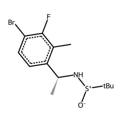 Cc1c([C@@H](C)N[S+]([O-])C(C)(C)C)ccc(Br)c1F